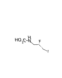 O=C(O)NC[C@H](F)CI